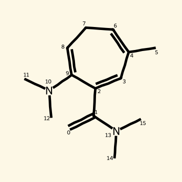 C=C(C1=CC(C)=CCC=C1N(C)C)N(C)C